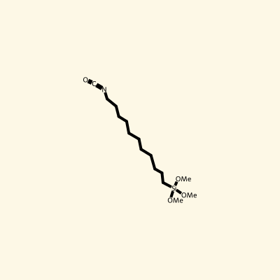 CO[Si](CCCCCCCCCCCN=C=O)(OC)OC